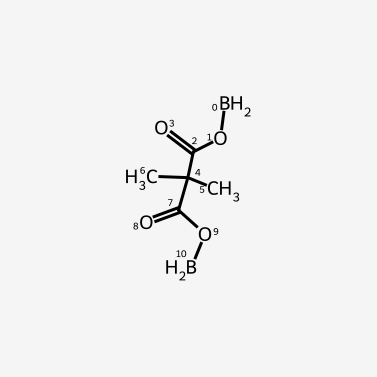 BOC(=O)C(C)(C)C(=O)OB